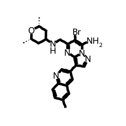 Cc1ccc2ncc(-c3cnn4c(N)c(Br)c(CNC5C[C@@H](C)O[C@@H](C)C5)nc34)cc2c1